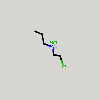 CCCNCCCl.Cl